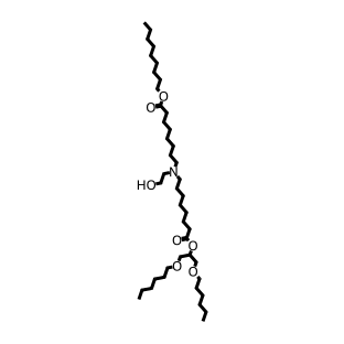 CCCCCCCCCOC(=O)CCCCCCCN(CCO)CCCCCCCC(=O)OC(COCCCCCC)COCCCCCC